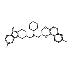 Cc1ccc2c3c(ccc2n1)OC[C@H](CN(C[C@@H]1CCc2[nH]c4ccc(F)cc4c2C1)C1CCCCC1)O3